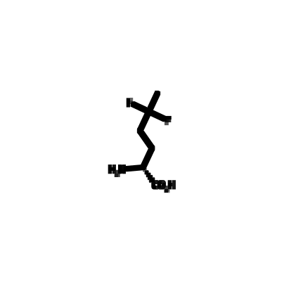 CC(F)(F)CC[C@@H](N)C(=O)O